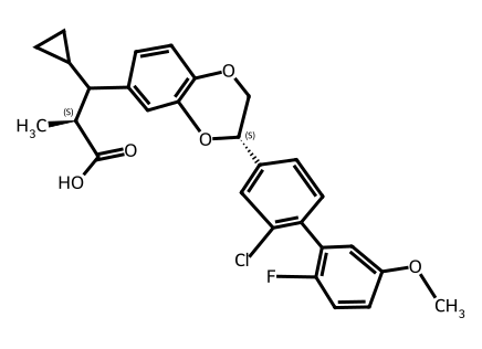 COc1ccc(F)c(-c2ccc([C@H]3COc4ccc(C(C5CC5)[C@H](C)C(=O)O)cc4O3)cc2Cl)c1